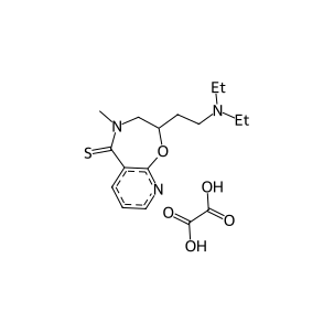 CCN(CC)CCC1CN(C)C(=S)c2cccnc2O1.O=C(O)C(=O)O